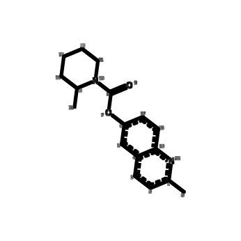 Cc1ccc2cc(OC(=O)N3CCCCC3C)ccc2n1